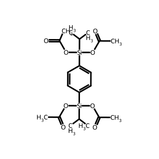 CC(=O)O[Si](OC(C)=O)(c1ccc([Si](OC(C)=O)(OC(C)=O)C(C)C)cc1)C(C)C